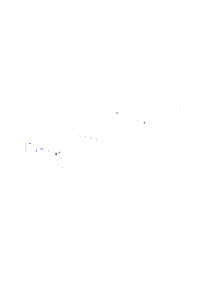 [NH]C(=O)CCCC[C]=O